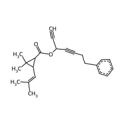 C#CC(C#CCCc1ccccc1)OC(=O)C1C(C=C(C)C)C1(C)C